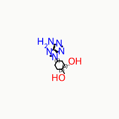 Nc1ncnc2c1ncn2[C@H]1CC[C@H](CO)[C@@H](CO)C1